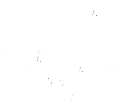 CCc1nc2c(cc1-c1ccncc1)c(NC(C)=O)nn2C